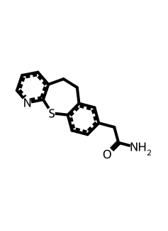 NC(=O)Cc1ccc2c(c1)CCc1cccnc1S2